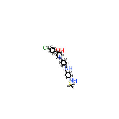 CC(C)(C)SNC1CCC(CNc2ccc(N3CCC(O)(c4ccc(Cl)cc4)CC3)cc2)CC1